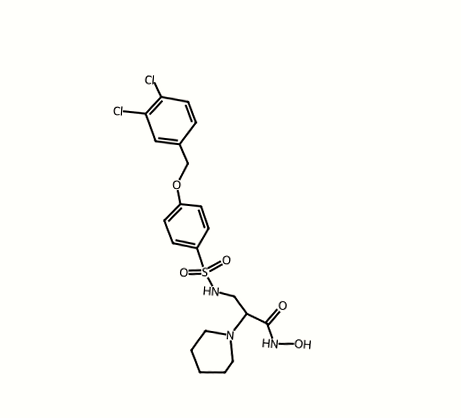 O=C(NO)C(CNS(=O)(=O)c1ccc(OCc2ccc(Cl)c(Cl)c2)cc1)N1CCCCC1